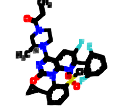 C=CC(=O)N1CCN(c2nc(=O)n(-c3c(C4CC4)cccc3S(C)(=O)=O)c3nc(-c4c(F)cccc4F)c(F)cc23)[C@@H](C)C1